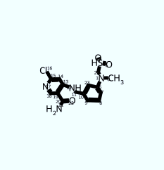 CN(C[SH](=O)=O)c1cccc(CNc2cc(Cl)ncc2C(N)=O)c1